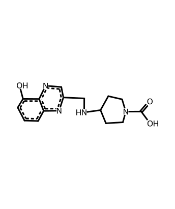 O=C(O)N1CCC(NCc2cnc3c(O)cccc3n2)CC1